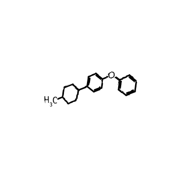 CC1CCC(c2ccc(Oc3ccccc3)cc2)CC1